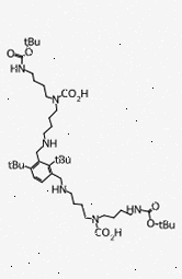 CC(C)(C)OC(=O)NCCCCN(CCCCNCc1ccc(C(C)(C)C)c(CNCCCCN(CCCCNC(=O)OC(C)(C)C)C(=O)O)c1C(C)(C)C)C(=O)O